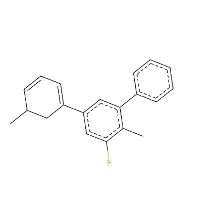 Cc1c(F)cc(C2=CC=CC(C)C2)cc1-c1ccccc1